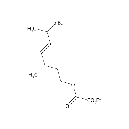 CCCCC(C)C=CC(C)CCOC(=O)C(=O)OCC